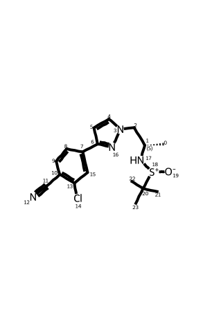 C[C@@H](Cn1ccc(-c2ccc(C#N)c(Cl)c2)n1)N[S+]([O-])C(C)(C)C